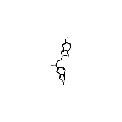 CCc1ccc2nn(CCC(C)c3ccc4cn(C)nc4c3)cc2c1